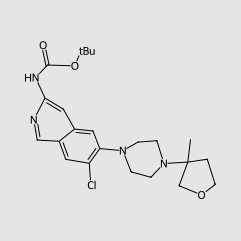 CC(C)(C)OC(=O)Nc1cc2cc(N3CCN(C4(C)CCOC4)CC3)c(Cl)cc2cn1